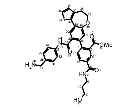 COC(=O)c1nc(C(=O)NCCCO)ccc1-c1cc2c(cc1C(=O)Nc1ccc(CN)cc1)-c1sccc1CCO2